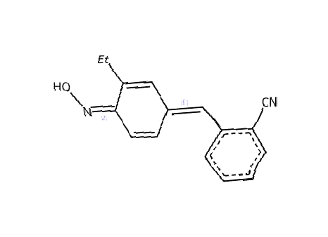 CCC1=CC(=C/c2ccccc2C#N)/C=CC/1=N/O